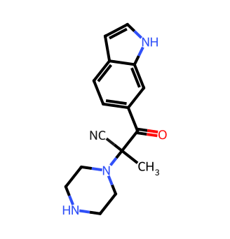 CC(C#N)(C(=O)c1ccc2cc[nH]c2c1)N1CCNCC1